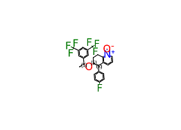 C[C@H](O[C@H]1CCc2c(ccc[n+]2[O-])[C@H]1c1ccc(F)cc1)c1cc(C(F)(F)F)cc(C(F)(F)F)c1